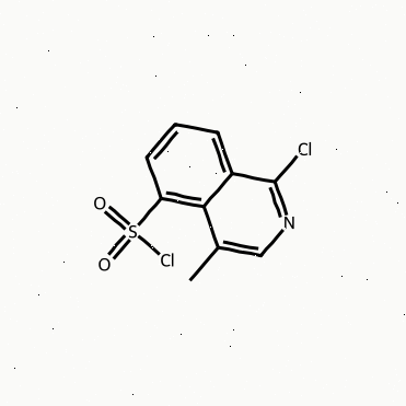 Cc1cnc(Cl)c2cccc(S(=O)(=O)Cl)c12